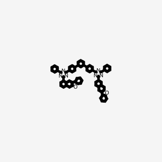 c1ccc(-c2nc(-c3ccc(-c4cccc(-c5ccc(-c6nc(-c7ccccc7)nc(-c7cccc8cc9oc%10ccccc%10c9cc78)n6)cc5)c4)cc3)nc(-c3ccc4cc5c(cc4c3)oc3ccccc35)n2)cc1